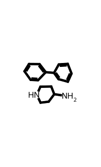 NC1CCNCC1.c1ccc(-c2ccccc2)cc1